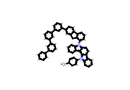 CC1C=CC(n2c3ccccc3c3ccc4c(c5ccccc5n4-c4cccc5c4Cc4cc(-c6cccc(-c7cccc(-c8cccc(-c9ccccc9)c8)c7)c6)ccc4-5)c32)=CC1